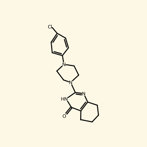 O=c1[nH]c(N2CCN(c3ccc(Cl)cc3)CC2)nc2c1CCCC2